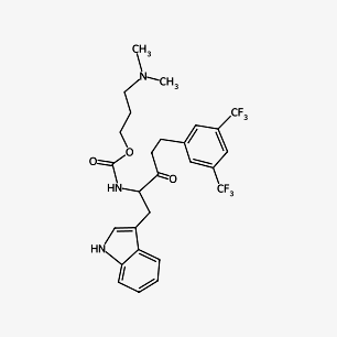 CN(C)CCCOC(=O)NC(Cc1c[nH]c2ccccc12)C(=O)CCc1cc(C(F)(F)F)cc(C(F)(F)F)c1